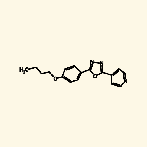 CCCCOc1ccc(-c2nnc(-c3ccncc3)o2)cc1